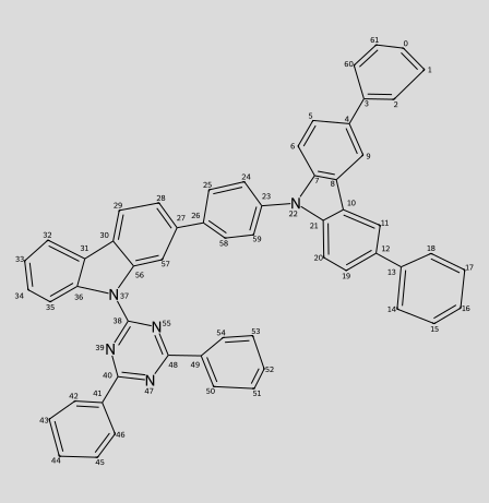 c1ccc(-c2ccc3c(c2)c2cc(-c4ccccc4)ccc2n3-c2ccc(-c3ccc4c5ccccc5n(-c5nc(-c6ccccc6)nc(-c6ccccc6)n5)c4c3)cc2)cc1